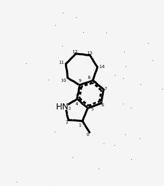 CC1CNc2c1ccc1c2CCCCC1